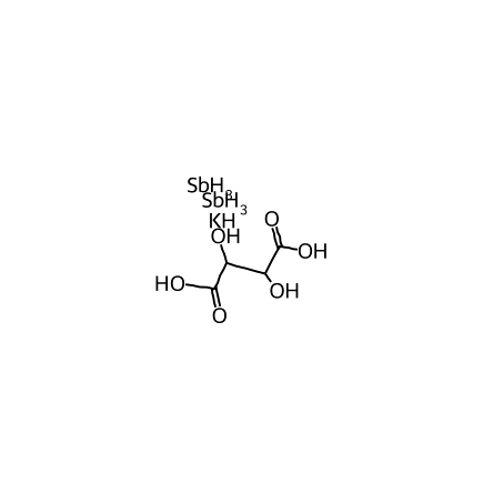 O=C(O)C(O)C(O)C(=O)O.[KH].[SbH3].[SbH3]